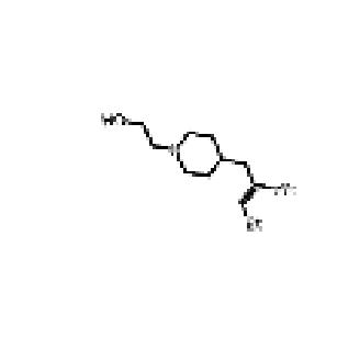 CCC=C(CCC)CC1CCN(CCO)CC1